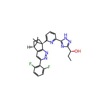 CC[C@H](O)c1n[nH]c(-c2cccc([C@@]34CC[C@@H](c5cc(-c6c(F)cccc6F)nnc53)C4(C)C)n2)n1